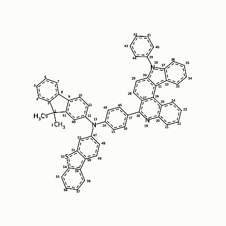 CC1(C)c2ccccc2-c2ccc(N(c3ccc(-c4nc5ccccc5c5c4ccc4c5c5ccccc5n4-c4ccccc4)cc3)c3ccc4c(c3)sc3ccccc34)cc21